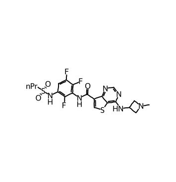 CCCS(=O)(=O)Nc1cc(F)c(F)c(NC(=O)c2csc3c(NC4CN(C)C4)ncnc23)c1F